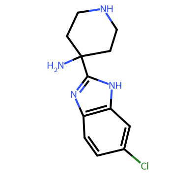 NC1(c2nc3ccc(Cl)cc3[nH]2)CCNCC1